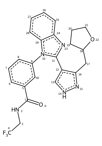 O=C(NCC(F)(F)F)c1cccc(-n2c(-c3c[nH]nc3CC3CCCO3)nc3ccccc32)c1